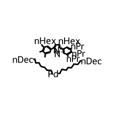 CCCCCCC1=C(c2cc(C)c(C)c(C)c2)[N+](=[N-])C(c2cc(CCC)c(CCC)c(CCC)c2)=C1CCCCCC.CCCCCCCCCCCCCCCCC[CH2][Pd][CH2]CCCCCCCCCCCCCCCCC